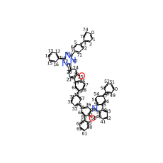 c1ccc(-c2ccc(-c3nc(-c4ccccc4)nc(-c4ccc5c(c4)oc4ccc(-c6cccc(-c7cc(-n8c9ccccc9c9cc(-c%10ccccc%10)ccc98)c8oc9ccccc9c8c7)c6)cc45)n3)cc2)cc1